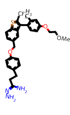 COCCOc1ccc(-c2c(C(F)(F)F)sc3ccc(COc4ccc(CC/C(N)=N/N)cc4)cc23)c(C)c1